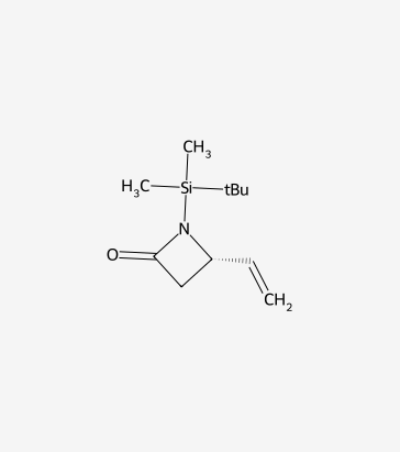 C=C[C@@H]1CC(=O)N1[Si](C)(C)C(C)(C)C